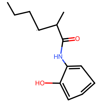 CCC[CH]C(C)C(=O)Nc1ccccc1O